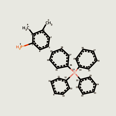 Cc1cccc([PH3+])c1C.c1ccc([B-](c2ccccc2)(c2ccccc2)c2ccccc2)cc1